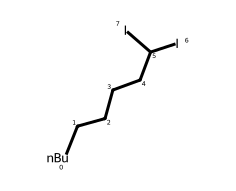 CCCCCCCCC(I)I